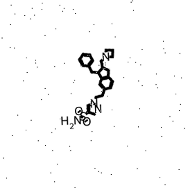 NS(=O)(=O)c1cnn(CCc2ccc3c(c2)C(Cc2ccccc2)C(CN2CCC2)C3)c1